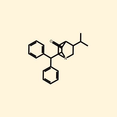 CC(C)C1CN2CCC1C(=O)C2C(c1ccccc1)c1ccccc1